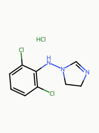 Cl.Clc1cccc(Cl)c1NN1C=NCC1